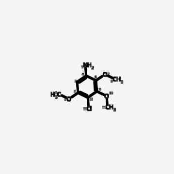 COc1cc(N)c(OC)c(OC)c1Cl